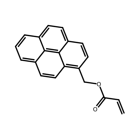 C=CC(=O)OCc1ccc2ccc3cccc4ccc1c2c34